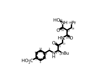 CCCCC(NCc1ccc(C(=O)O)cc1)C(=O)CNC(=O)C(CC(C)C)C(=O)NO